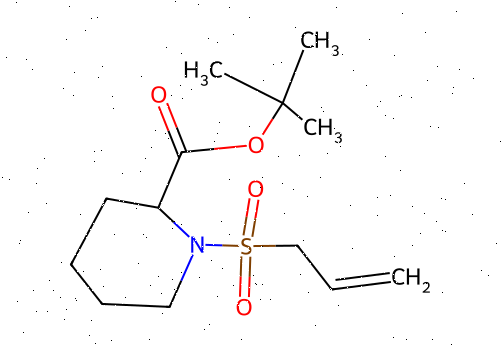 C=CCS(=O)(=O)N1CCCCC1C(=O)OC(C)(C)C